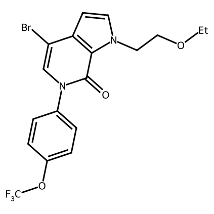 CCOCCn1ccc2c(Br)cn(-c3ccc(OC(F)(F)F)cc3)c(=O)c21